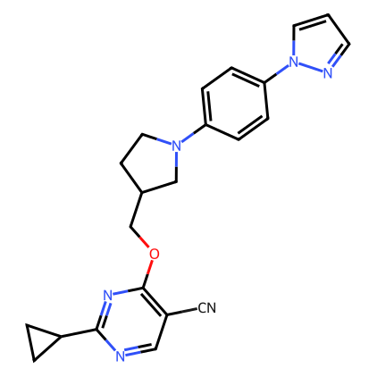 N#Cc1cnc(C2CC2)nc1OCC1CCN(c2ccc(-n3cccn3)cc2)C1